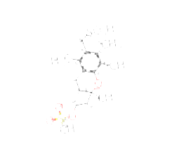 Cc1c(C)c2c(c(C)c1CS(=O)(=O)O)CCC(C)(CCOS(C)(=O)=O)O2